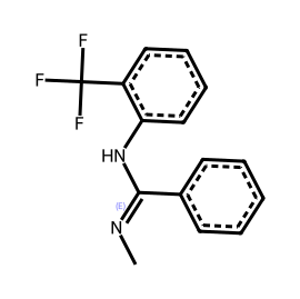 C/N=C(/Nc1ccccc1C(F)(F)F)c1ccccc1